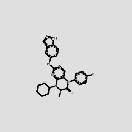 C[C@@H]1C(=O)N(c2ccc(Cl)cc2)c2cnc(Nc3ccc4[nH]ncc4c3)nc2N1C1CCCCC1